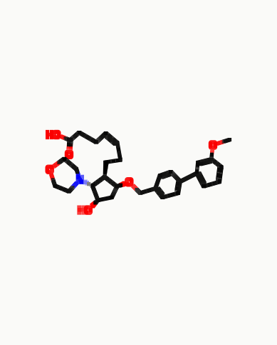 COc1cccc(-c2ccc(CO[C@H]3C[C@@H](O)[C@H](N4CCOCC4)[C@H]3CC/C=C\CCC(=O)O)cc2)c1